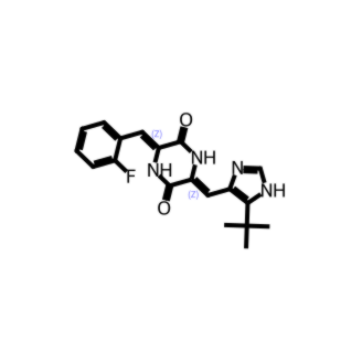 CC(C)(C)c1[nH]cnc1/C=c1\[nH]c(=O)/c(=C/c2ccccc2F)[nH]c1=O